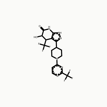 O=C1Nc2[nH]nc(C3CCN(c4ccnc(C(F)(F)F)n4)CC3)c2C(C(F)(F)F)C1O